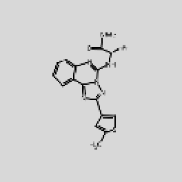 CCC[C@@H](Nc1nc2ccccc2c2nc(-c3csc(C)c3)nn12)C(=O)NC